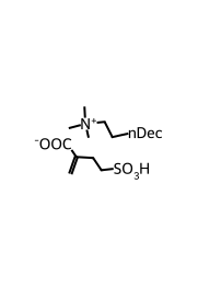 C=C(CCS(=O)(=O)O)C(=O)[O-].CCCCCCCCCCCC[N+](C)(C)C